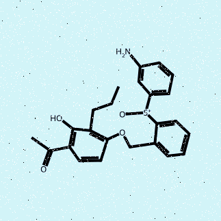 CCCc1c(OCc2ccccc2[S+]([O-])c2cccc(N)c2)ccc(C(C)=O)c1O